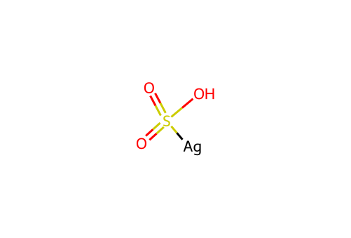 O=[S](=O)(O)[Ag]